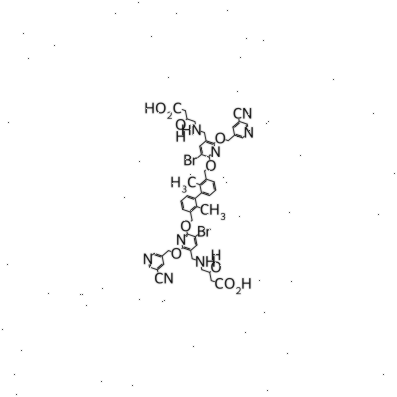 Cc1c(COc2nc(OCc3cncc(C#N)c3)c(CNCC(O)CC(=O)O)cc2Br)cccc1-c1cccc(COc2nc(OCc3cncc(C#N)c3)c(CNC[C@H](O)CC(=O)O)cc2Br)c1C